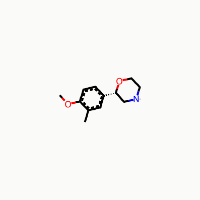 COc1ccc([C@H]2C[N]CCO2)cc1C